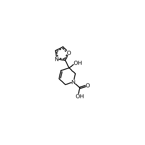 O=C(O)N1CC=CC(O)(c2ncco2)C1